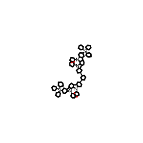 c1ccc(-n2c3ccc(-c4cccc(-c5ccc6c(c5)c5ccc7c8cc([Si](c9ccccc9)(c9ccccc9)c9ccccc9)ccc8n(-c8ccccc8)c7c5n6-c5ccccc5)c4)cc3c3ccc4c5cc([Si](c6ccccc6)(c6ccccc6)c6ccccc6)ccc5n(-c5ccccc5)c4c32)cc1